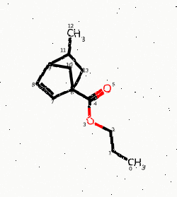 CCCOC(=O)C12C=CC(C1)C(C)C2